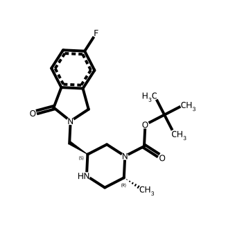 C[C@@H]1CN[C@@H](CN2Cc3cc(F)ccc3C2=O)CN1C(=O)OC(C)(C)C